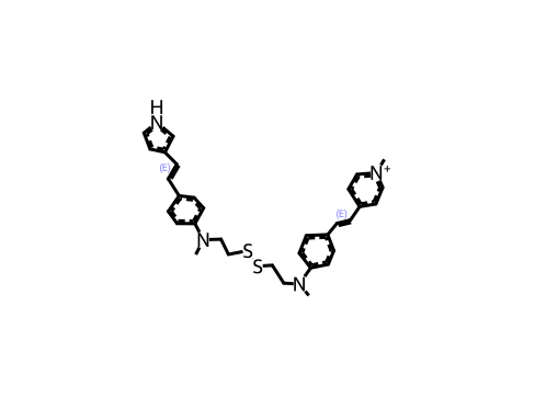 CN(CCSSCCN(C)c1ccc(/C=C/c2cc[nH]c2)cc1)c1ccc(/C=C/c2cc[n+](C)cc2)cc1